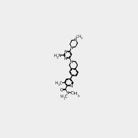 Cc1cc(-c2ccc3c(c2)CN(c2cc(N4CCN(C)CC4)nc(N)n2)CC3)cnc1C(=O)N(C)C